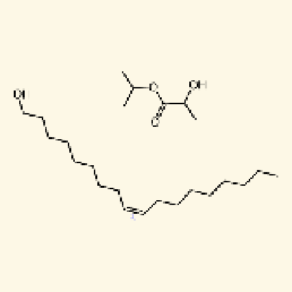 CC(C)OC(=O)C(C)O.CCCCCCCC/C=C\CCCCCCCCO